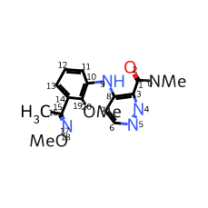 CNC(=O)c1nnccc1Nc1cccc(C(C)=NOC)c1OC